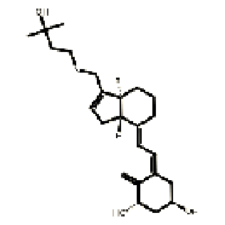 C=C1C(=CC=C2CCC[C@]3(C)C(CSCCC(C)(C)O)=CC[C@@H]23)C[C@@H](O)C[C@@H]1O